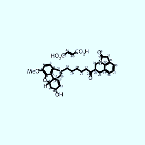 COc1ccc2c3c1O[C@H]1C[C@@H](O)C=C[C@@]31CCN(CCCCCC(=O)C1Cc3cccc4c3N(C1)C(=O)C4)C2.O=C(O)C=CC(=O)O